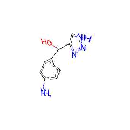 Nc1ccc(C(O)c2c[nH]nn2)cc1